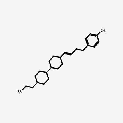 CCC[C@H]1CC[C@H](C2CCC(/C=C/CCc3ccc(C)cc3)CC2)CC1